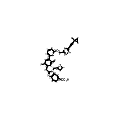 CC1(C#Cc2nnc(COc3cccc(-c4cc(F)c(Cc5nc6ccc(C(=O)O)cc6n5CC5CCO5)cc4F)n3)s2)CC1